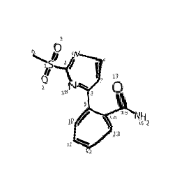 CS(=O)(=O)c1nccc(-c2ccccc2C(N)=O)n1